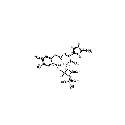 CC1(C)[C@H](NC(=O)C(=NOCc2cc(=O)c(O)cn2O)c2csc(N)n2)C(=O)N1S(=O)(=O)O